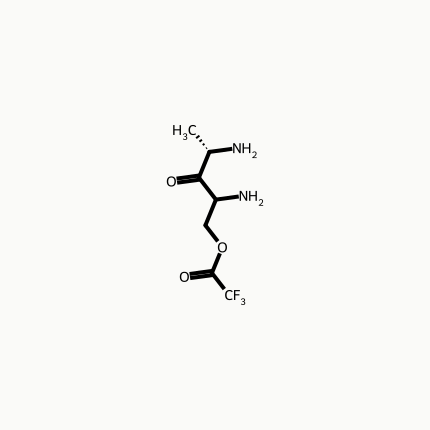 C[C@H](N)C(=O)C(N)COC(=O)C(F)(F)F